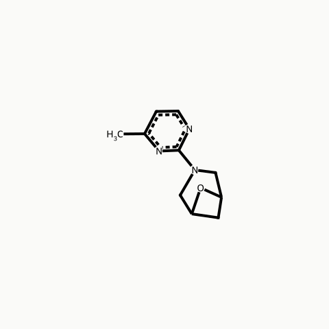 Cc1ccnc(N2CC3CC(C2)O3)n1